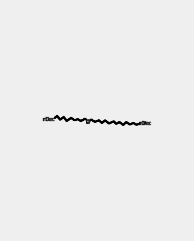 CCCCCCCCCCCCCCCCCCCCCCC[CH]OCCCCCCCCCCCCCCCCCCC